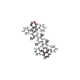 Brc1cc(-c2cc(N(c3ccccc3)c3ccccc3)c(N(c3ccccc3)c3ccccc3)cc2Br)c(Br)cc1-c1cc(N(c2ccccc2)c2ccccc2)c(N(c2ccccc2)c2ccccc2)cc1Br